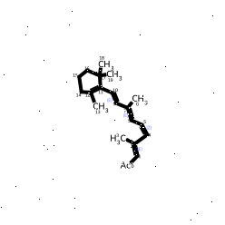 CC(=O)/C=C(C)/C=C\C=C(C)\C=C\C1=C(C)CCCC1(C)C